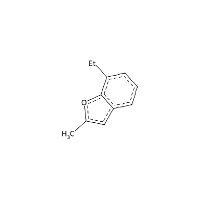 CCc1cccc2cc(C)oc12